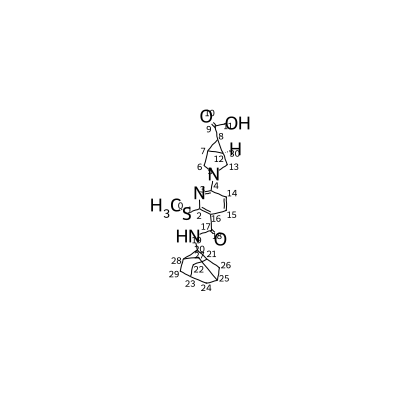 CSc1nc(N2CC3C(C(=O)O)[C@H]3C2)ccc1C(=O)NC1C2CC3CC(C2)CC1C3